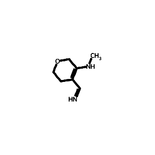 CNC1=C(C=N)CCOC1